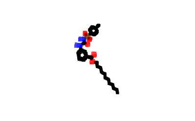 CCCCCCCCCCCCOC(=O)c1cccc(NC(=O)NS(=O)(=O)c2ccc(C)cc2)c1